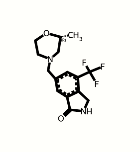 C[C@@H]1CN(Cc2cc3c(c(C(F)(F)F)c2)CNC3=O)CCO1